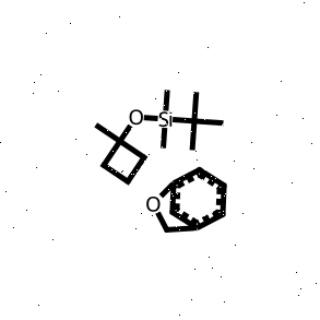 CC1(O[Si](C)(C)C(C)(C)C)CCC1.c1cc2cc(c1)OC2